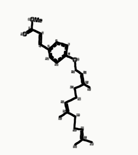 COC(=O)C=Cc1ccc(OCC=C(C)CCC=C(C)CCC=C(C)C)cc1